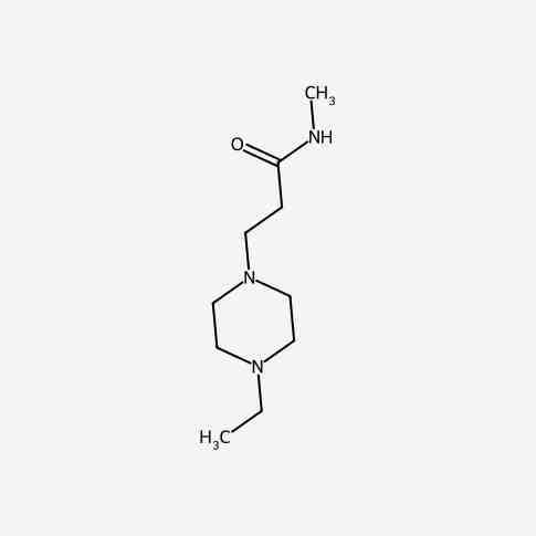 CCN1CCN(CCC(=O)NC)CC1